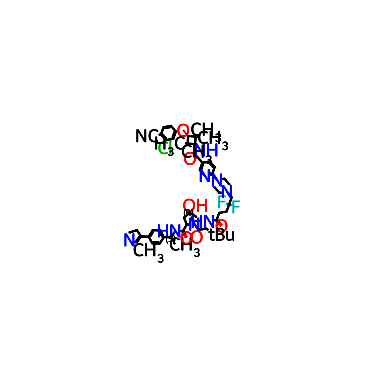 CC1=C(c2ccc([C@H](C)NC(=O)C3C[C@@H](O)CN3C(=O)C(NC(=O)CCC(F)(F)CN3CCN(c4ccc(C(=O)N[C@H]5C(C)(C)[C@H](Oc6ccc(C#N)c(Cl)c6)C5(C)C)cn4)CC3)C(C)(C)C)cc2)CC=N1